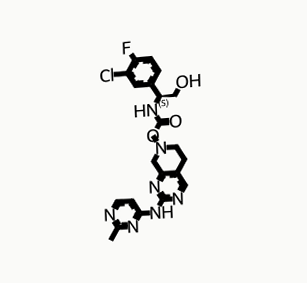 Cc1nccc(Nc2ncc3c(n2)CN(OC(=O)N[C@H](CO)c2ccc(F)c(Cl)c2)CC3)n1